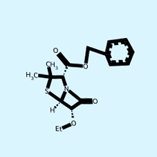 CCO[C@H]1C(=O)N2[C@@H]1SC(C)(C)[C@@H]2C(=O)OCc1ccccc1